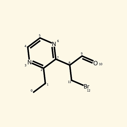 CCc1nccnc1C(C=O)CBr